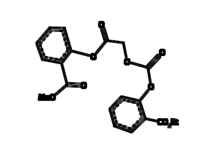 CCOC(=O)c1ccccc1OC(=O)OCC(=O)Oc1ccccc1C(=O)OC